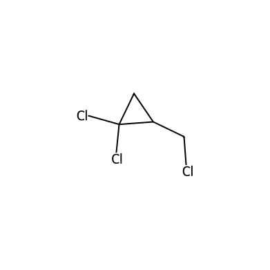 ClCC1CC1(Cl)Cl